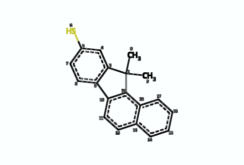 CC1(C)c2cc(S)ccc2-c2ccc3ccccc3c21